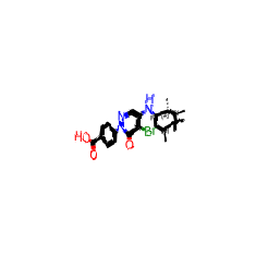 C[C@@H]1[C@@H](C)C(C)(C)[C@@H](C)C[C@H]1Nc1cnn(-c2ccc(C(=O)O)cc2)c(=O)c1Br